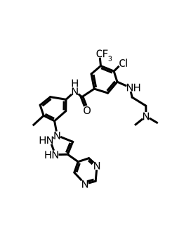 Cc1ccc(NC(=O)c2cc(NCCN(C)C)c(Cl)c(C(F)(F)F)c2)cc1N1C=C(c2cncnc2)NN1